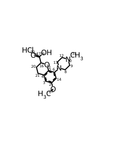 COc1cc2c(c(N3CCN(C)CC3)c1)OC(C(=O)O)CC2.Cl